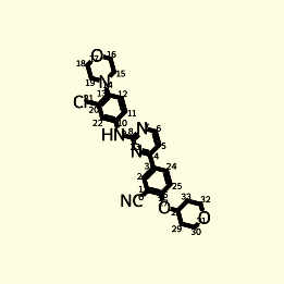 N#Cc1cc(-c2ccnc(Nc3ccc(N4CCOCC4)c(Cl)c3)n2)ccc1OC1CCOCC1